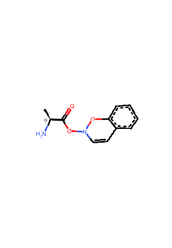 C[C@H](N)C(=O)ON1C=Cc2ccccc2O1